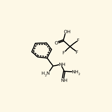 N=C(N)NC(N)c1ccccc1.O=C(O)C(F)(F)F